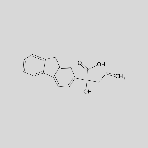 C=CCC(O)(C(=O)O)c1ccc2c(c1)Cc1ccccc1-2